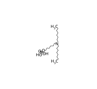 CCCCCCCCN(CCCCCCCC)CCCCCCOP(=O)(O)O